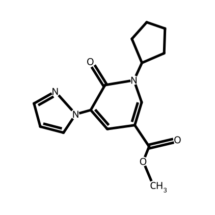 COC(=O)c1cc(-n2cccn2)c(=O)n(C2CCCC2)c1